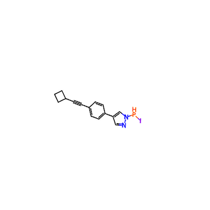 IPn1cc(-c2ccc(C#CC3CCC3)cc2)cn1